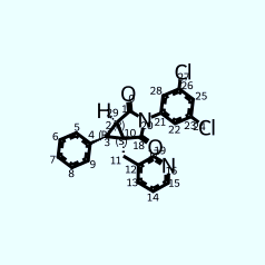 O=C1[C@@H]2[C@H](c3ccccc3)[C@]2(Cc2cccnc2)C(=O)N1c1cc(Cl)cc(Cl)c1